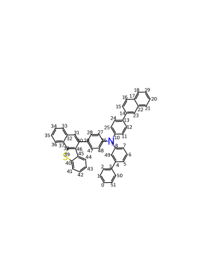 c1ccc(-c2cccc(N(c3ccc(-c4ccc5ccccc5c4)cc3)c3ccc(-c4cc5ccccc5c5sc6ccccc6c45)cc3)c2)cc1